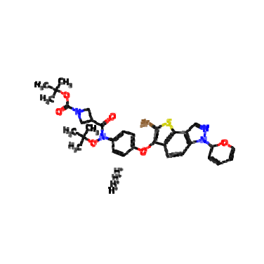 CC(C)(C)OC(=O)N1CC(C(=O)N(OC(C)(C)C)c2ccc(Oc3c(Br)sc4c3ccc3c4cnn3C3C=CC=CO3)cc2)C1.[H+].[H+].[H+].[H+]